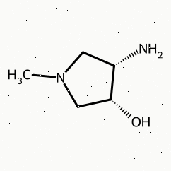 CN1C[C@@H](O)[C@@H](N)C1